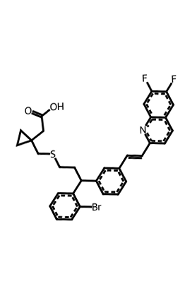 O=C(O)CC1(CSCCC(c2cccc(C=Cc3ccc4cc(F)c(F)cc4n3)c2)c2ccccc2Br)CC1